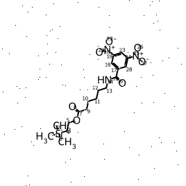 C[Si](C)(C)CCOC(=O)CCCCCNC(=O)c1cc([N+](=O)[O-])cc([N+](=O)[O-])c1